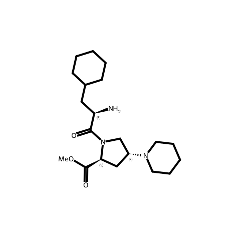 COC(=O)[C@@H]1C[C@@H](N2CCCCC2)CN1C(=O)[C@H](N)CC1CCCCC1